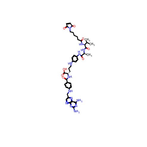 CC(C)[C@H](NC(=O)CCCCCN1C(=O)C=CC1=O)C(=O)N[C@@H](C)C(=O)Nc1ccc(NCCC[C@H](NC(=O)c2ccc(NCc3cnc4nc(N)nc(N)c4n3)cc2)C(=O)O)cc1